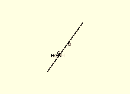 CCCCCCCCC=CCCCCCCCCCCCC(=O)CCCCCCCCCCC(=O)NC(CO)CCCCCCCCCCCCCCCC